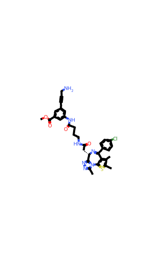 COC(=O)c1cc(C#CCN)cc(NC(=O)CCCNC(=O)C[C@@H]2N=C(c3ccc(Cl)cc3)c3c(sc(C)c3C)-n3c(C)nnc32)c1